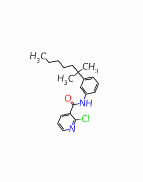 CCCCCC(C)(C)c1cccc(NC(=O)c2cccnc2Cl)c1